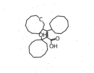 O=C(O)C(=C(C1CCCCCCCCC1)C1CCCCCCCCC1)C1(O)CCCCCCCCC1